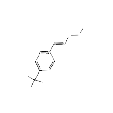 OBO/C=C/c1ccc(C(F)(F)F)cc1